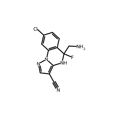 N#Cc1cnn2c1NC(F)(CN)c1ccc(Cl)cc1-2